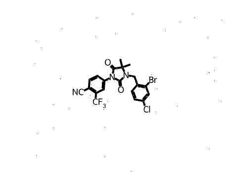 CC1(C)C(=O)N(c2ccc(C#N)c(C(F)(F)F)c2)C(=O)N1Cc1ccc(Cl)cc1Br